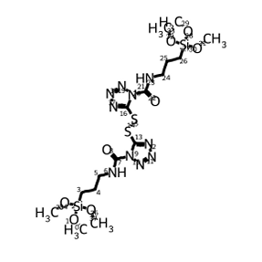 CO[Si](CCCNC(=O)n1nnnc1SSc1nnnn1C(=O)NCCC[Si](OC)(OC)OC)(OC)OC